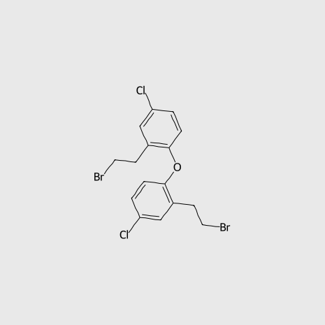 Clc1ccc(Oc2ccc(Cl)cc2CCBr)c(CCBr)c1